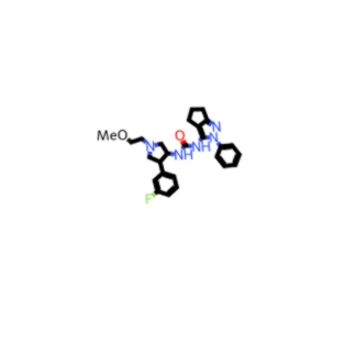 COCCN1CC(NC(=O)Nc2c3c(nn2-c2ccccc2)CCC3)C(c2cccc(F)c2)C1